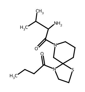 CCCC(=O)N1CCSC12CCCN(C(=O)C(N)C(C)C)C2